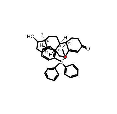 C[C@]12CC[C@@H]3[C@@H](CCC4=CC(=O)CC[C@@]43CO[Si](c3ccccc3)(c3ccccc3)c3ccccc3)[C@@H]1CCC2O